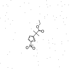 CCOC(=O)C(C)(C)c1ccc([N+](=O)[O-])s1